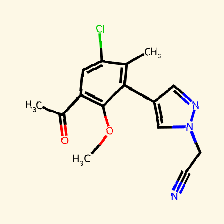 COc1c(C(C)=O)cc(Cl)c(C)c1-c1cnn(CC#N)c1